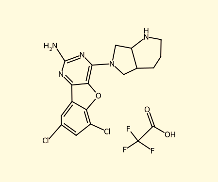 Nc1nc(N2CC3CCCNC3C2)c2oc3c(Cl)cc(Cl)cc3c2n1.O=C(O)C(F)(F)F